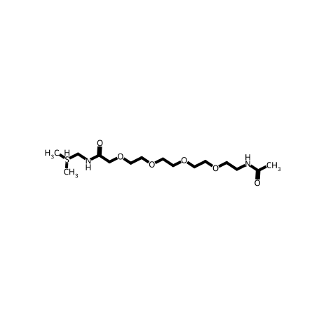 CC(=O)NCCOCCOCCOCCOCC(=O)NC[SH](C)C